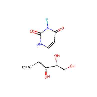 O=CC[C@H](O)[C@H](O)CO.O=c1cc[nH]c(=O)n1F